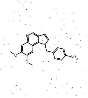 COc1cc2ncc3ccn(Cc4ccc(N)cc4)c3c2cc1OC